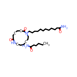 CCCCCC(N)=O.NC(=O)CCCCCCCCCCCN1CCCCCCNC(=O)CCCCC1=O